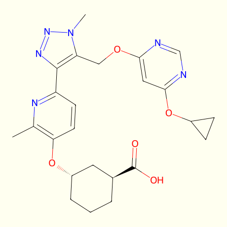 Cc1nc(-c2nnn(C)c2COc2cc(OC3CC3)ncn2)ccc1O[C@H]1CCC[C@H](C(=O)O)C1